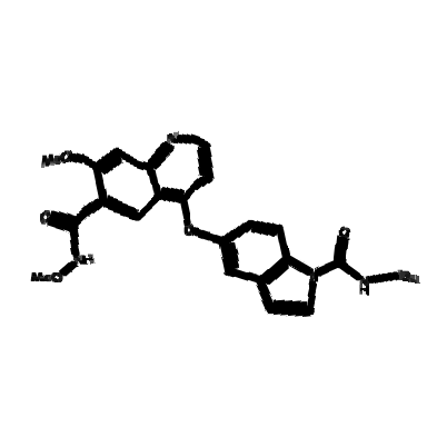 CCC(C)NC(=O)n1ccc2cc(Oc3ccnc4cc(OC)c(C(=O)NOC)cc34)ccc21